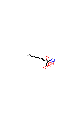 CCCCCCCC=CC(=O)[C@@](O)(CC(=O)[O-])C[N+](C)(C)C